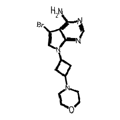 Nc1ncnc2c1c(Br)cn2C1CC(N2CCOCC2)C1